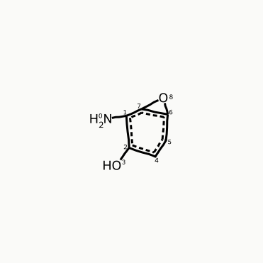 Nc1c(O)ccc2c1O2